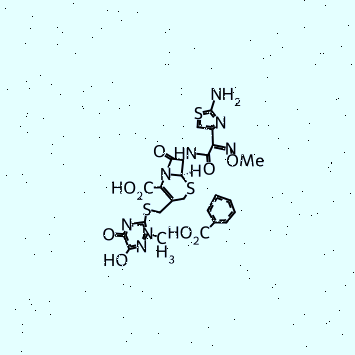 CO/N=C(\C(=O)N[C@@H]1C(=O)N2C(C(=O)O)=C(CSc3nc(=O)c(O)nn3C)CS[C@H]12)c1csc(N)n1.O=C(O)c1ccccc1